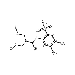 Cc1cc(CC(O)N(CCBr)CCBr)c(S(C)(=O)=O)cc1[N+](=O)[O-]